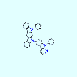 c1ccc(-n2c3ccccc3c3cc4c5ccccc5n(-c5ccc6c(c5)c5cccnc5n6-c5ccccc5)c4cc32)cc1